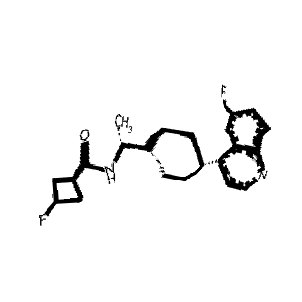 C[C@@H](NC(=O)C1CC(F)C1)[C@H]1CC[C@@H](c2ccnc3ccc(F)cc32)CC1